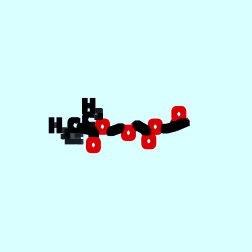 CCC(C)(C)C(=O)OCCOCC(=O)OCC1CO1